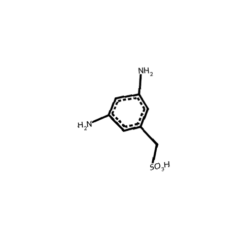 Nc1cc(N)cc(CS(=O)(=O)O)c1